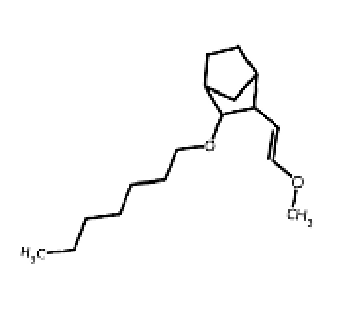 CCCCCCCOC1C2CCC(C2)C1C=COC